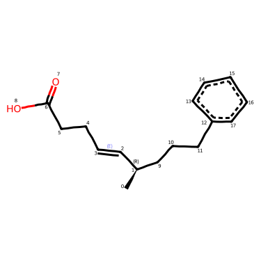 C[C@@H](/C=C/CCC(=O)O)CCCc1ccccc1